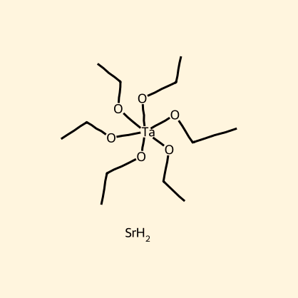 CC[O][Ta]([O]CC)([O]CC)([O]CC)([O]CC)[O]CC.[SrH2]